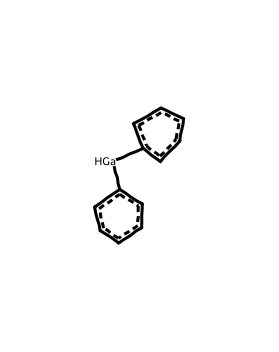 c1cc[c]([GaH][c]2ccccc2)cc1